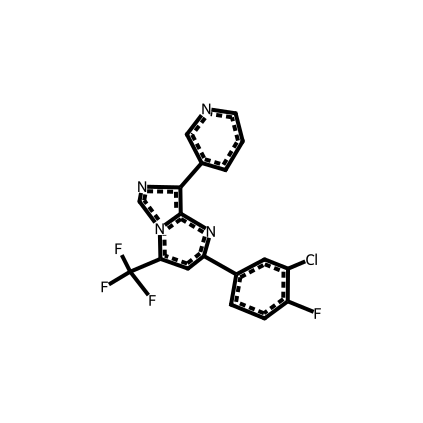 Fc1ccc(-c2cc(C(F)(F)F)n3cnc(-c4cccnc4)c3n2)cc1Cl